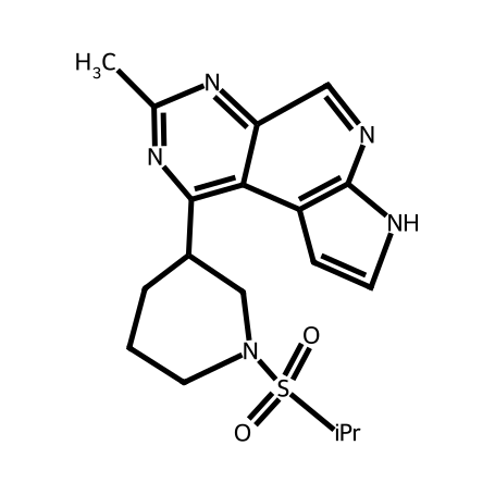 Cc1nc(C2CCCN(S(=O)(=O)C(C)C)C2)c2c(cnc3[nH]ccc32)n1